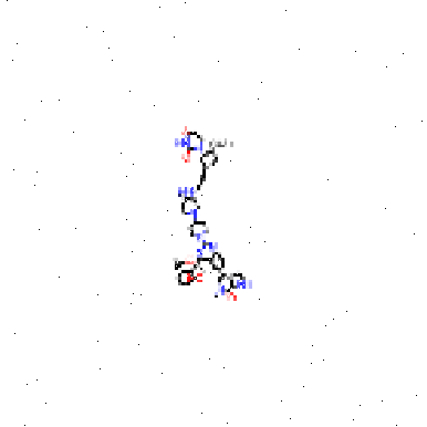 COc1ccc(C#CCNC2(C)CCN(C3CCN(c4nc([C@@](CO)(OC5CC5)c5ccccc5)c5cc(-c6cn(C)c(=O)c7[nH]ccc67)ccc5n4)CC3)CC2)cc1N1CCC(=O)NC1=O